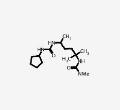 CNC(=O)NC(C)(C)CCC(C)NC(=O)NC1CCCC1